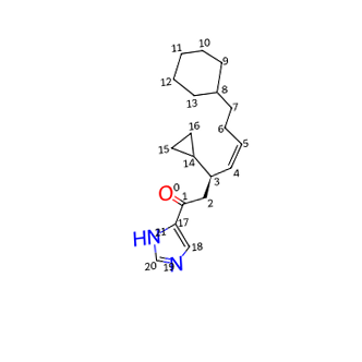 O=C(C[C@H](/C=C\CCC1CCCCC1)C1CC1)c1cnc[nH]1